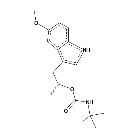 COc1ccc2[nH]cc(C[C@@H](C)OC(=O)NC(C)(C)C)c2c1